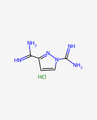 Cl.N=C(N)c1ccn(C(=N)N)n1